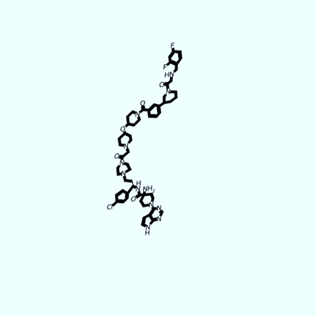 NC1(C(=O)N[C@@H](CCN2CCN(C(=O)CN3CCC(OC4CCN(C(=O)c5cccc(C6CCCN(C(=O)CNCc7ccc(F)cc7F)C6)c5)CC4)CC3)CC2)c2ccc(Cl)cc2)CCN(c2ncnc3[nH]ccc23)CC1